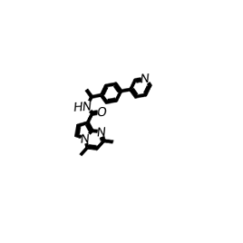 Cc1cc(C)n2ccc(C(=O)NC(C)c3ccc(-c4cccnc4)cc3)c2n1